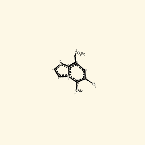 CCOC(=O)c1cc(Cl)c(NC)n2ccnc12